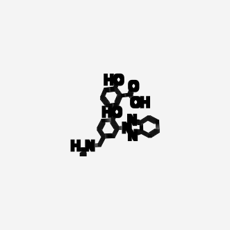 NCc1ccc(O)c(-n2nc3ccccc3n2)c1.O=C(O)c1ccccc1O